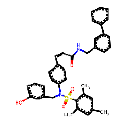 Cc1cc(C)c(S(=O)(=O)N(Cc2cccc(O)c2)c2ccc(/C=C\C(=O)NCc3cccc(-c4ccccc4)c3)cc2)c(C)c1